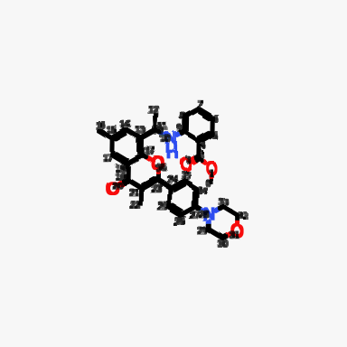 COC(=O)c1ccccc1N[C@H](C)c1cc(C)cc2c(=O)c(C)c(-c3ccc(N4CCOCC4)cc3)oc12